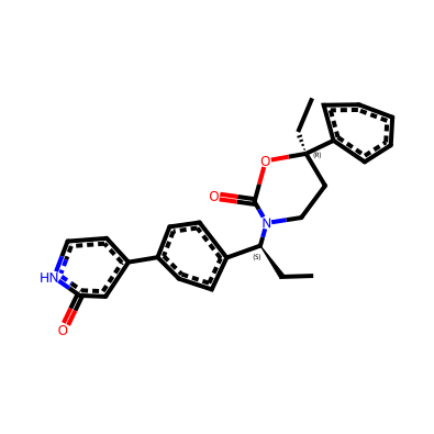 CC[C@@H](c1ccc(-c2cc[nH]c(=O)c2)cc1)N1CC[C@](CC)(c2ccccc2)OC1=O